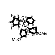 COc1ccc(S(OS(=O)(=O)c2c(F)c(F)c(F)c(F)c2F)(c2ccccc2)c2ccc(OC)cc2)cc1